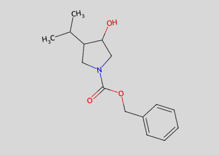 CC(C)C1CN(C(=O)OCc2ccccc2)CC1O